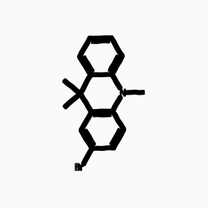 CN1c2ccccc2C(C)(C)c2cc(Br)ccc21